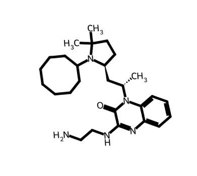 C[C@@H](C[C@@H]1CCC(C)(C)N1C1CCCCCCC1)n1c(=O)c(NCCN)nc2ccccc21